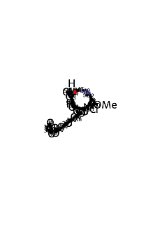 COc1cc2cc(c1Cl)N(C)C(=O)C[C@H](OC(=O)[C@H](C)OCCOCCOCC(=O)ON1C(=O)CCC1=O)[C@]1(C)O[C@H]1[C@H](C)C1C[C@H](C/C=C/C=C(\C)C2)NC(=O)O1